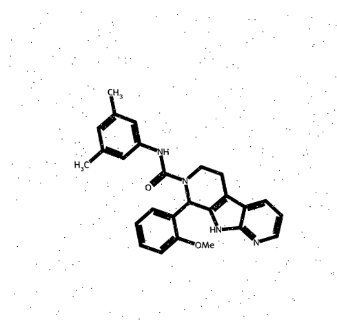 COc1ccccc1C1c2[nH]c3ncccc3c2CCN1C(=O)Nc1cc(C)cc(C)c1